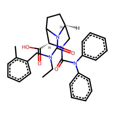 CCN(Cc1ccccc1C)C(=O)N1C2CC[C@H]1CN(C(=O)N(c1ccccc1)c1ccccc1)[C@@H]2C(=O)O